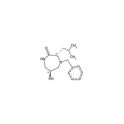 CC(C)C[C@H]1C(=O)NC[C@H](O)CN1Cc1ccccc1